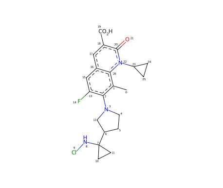 Cc1c(N2CCC(C3(NCl)CC3)C2)c(F)cc2cc(C(=O)O)c(=O)n(C3CC3)c12